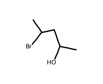 CC(O)CC(C)Br